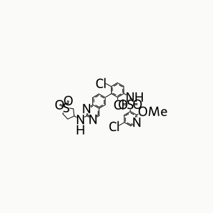 COc1ncc(Cl)cc1S(=O)(=O)Nc1ccc(Cl)c(-c2ccc3nc(NC4CCS(=O)(=O)C4)ncc3c2)c1Cl